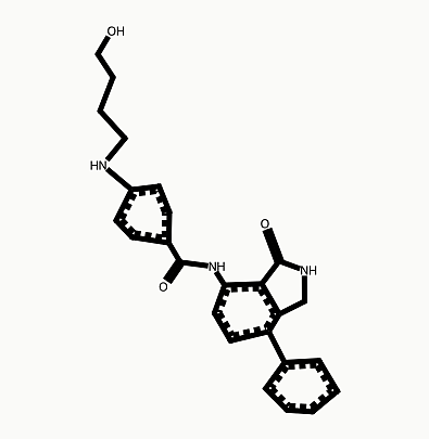 O=C(Nc1ccc(-c2ccccc2)c2c1C(=O)NC2)c1ccc(NCCCCO)cc1